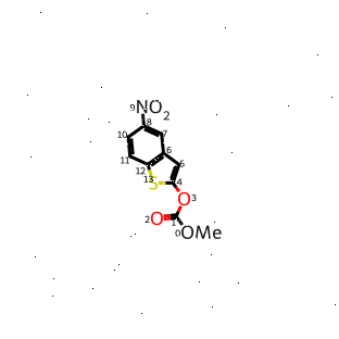 COC(=O)Oc1cc2cc([N+](=O)[O-])ccc2s1